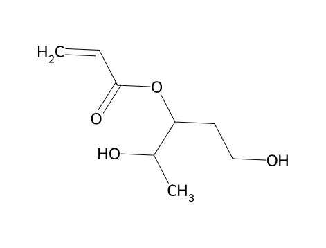 C=CC(=O)OC(CCO)C(C)O